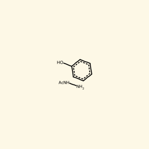 CC(=O)NN.Oc1ccccc1